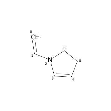 [CH]=CN1[C]=CCC1